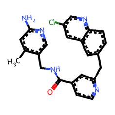 Cc1cc(N)ncc1CNC(=O)c1ccnc(Cc2ccc3ncc(Cl)cc3c2)c1